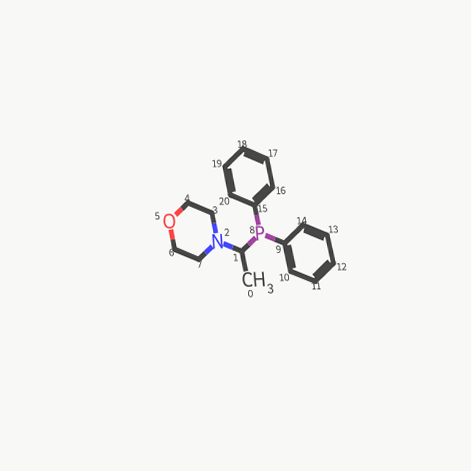 CC(N1CCOCC1)P(c1ccccc1)c1ccccc1